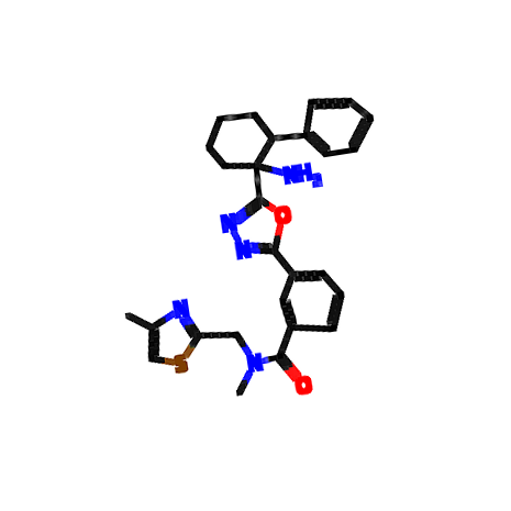 Cc1csc(CN(C)C(=O)c2cccc(-c3nnc(C4(N)CCCCC4c4ccccc4)o3)c2)n1